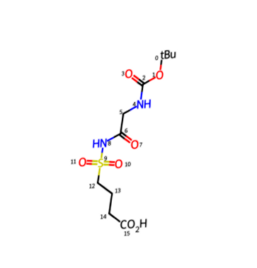 CC(C)(C)OC(=O)NCC(=O)NS(=O)(=O)CCCC(=O)O